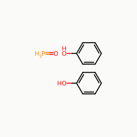 O=[PH3].Oc1ccccc1.Oc1ccccc1